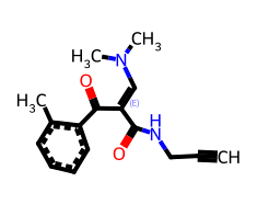 C#CCNC(=O)/C(=C/N(C)C)C(=O)c1ccccc1C